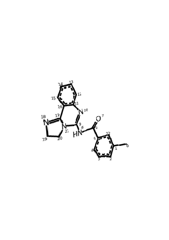 Cc1cccc(C(=O)NC2=Nc3ccccc3C3=NCCN23)c1